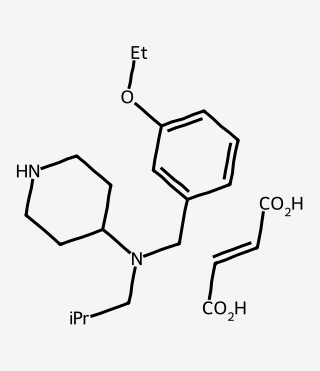 CCOc1cccc(CN(CC(C)C)C2CCNCC2)c1.O=C(O)/C=C/C(=O)O